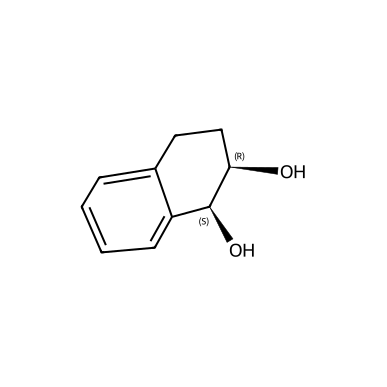 O[C@@H]1CCc2ccccc2[C@@H]1O